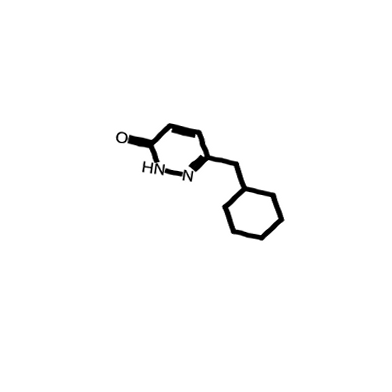 O=c1ccc(CC2CCCCC2)n[nH]1